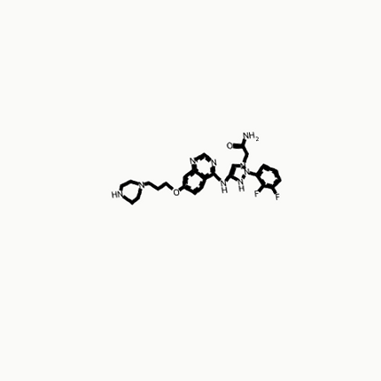 NC(=O)CN1C=C(Nc2ncnc3cc(OCCCN4CCNCC4)ccc23)NN1c1cccc(F)c1F